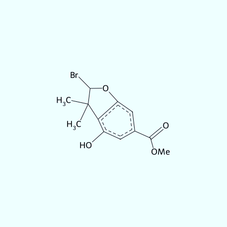 COC(=O)c1cc(O)c2c(c1)OC(Br)C2(C)C